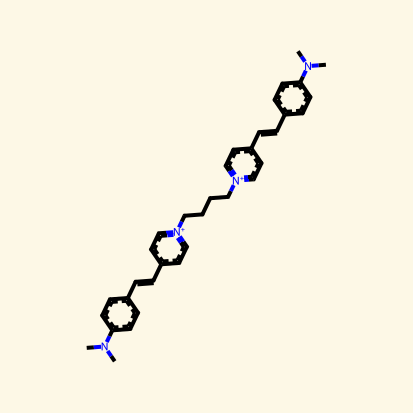 CN(C)c1ccc(C=Cc2cc[n+](CCCC[n+]3ccc(C=Cc4ccc(N(C)C)cc4)cc3)cc2)cc1